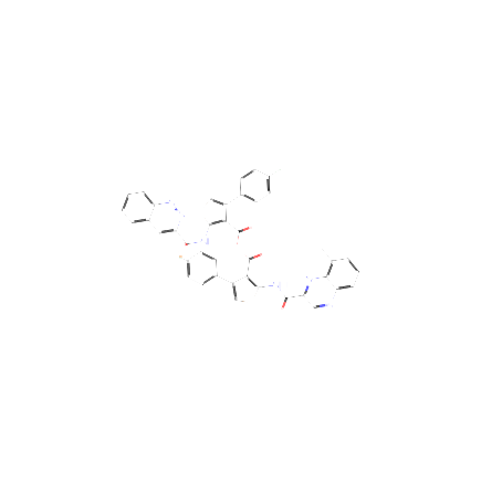 Cc1cccc2ncc(C(=O)Nc3scc(-c4ccc(Cl)cc4)c3C(=O)OC(=O)c3c(-c4ccc(Cl)cc4)csc3NC(=O)c3cc4ccccc4nn3)nc12